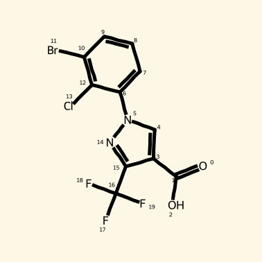 O=C(O)c1cn(-c2cccc(Br)c2Cl)nc1C(F)(F)F